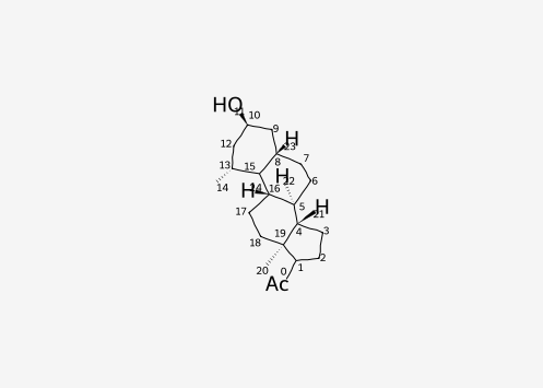 CC(=O)C1CC[C@H]2[C@@H]3CC[C@H]4C[C@H](O)C[C@@H](C)C4[C@H]3CC[C@]12C